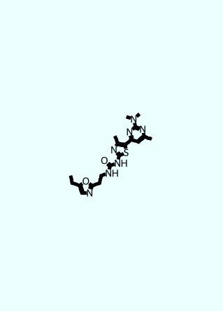 CCc1cnc(CCNC(=O)Nc2nc(C)c(-c3cc(C)nc(N(C)C)n3)s2)o1